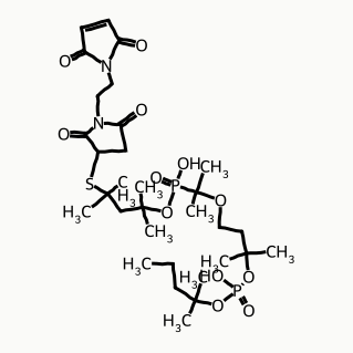 CCCC(C)(C)OP(=O)(O)OC(C)(C)CCOC(C)(C)P(=O)(O)OC(C)(C)CC(C)(C)SC1CC(=O)N(CCN2C(=O)C=CC2=O)C1=O